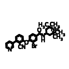 CC1(C)CC(NC(=O)c2ccc(Oc3cccc(-c4cccnc4)c3C#N)c(Br)c2)CC(C)(C)N1